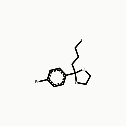 Brc1ccc(C2(CCCI)OCCO2)cc1